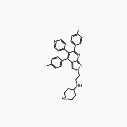 Fc1ccc(-c2nc3nn(CCNC4CCNCC4)cc3c(-c3ccc(F)cc3)c2-c2ccncc2)cc1